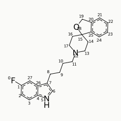 Fc1ccc2[nH]cc(CCCCN3CCC4(CC3)OCc3ccccc34)c2c1